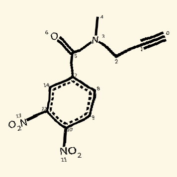 C#CCN(C)C(=O)c1ccc([N+](=O)[O-])c([N+](=O)[O-])c1